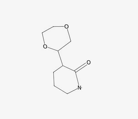 O=C1[N]CCCC1C1COCCO1